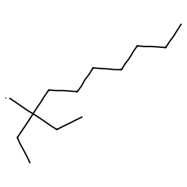 [CH2]C(CC)(CC)CCCCCCC